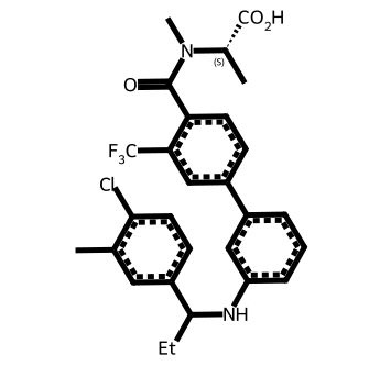 CCC(Nc1cccc(-c2ccc(C(=O)N(C)[C@@H](C)C(=O)O)c(C(F)(F)F)c2)c1)c1ccc(Cl)c(C)c1